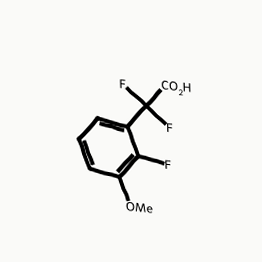 COc1cccc(C(F)(F)C(=O)O)c1F